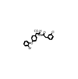 O=C(Cc1cccc(Cl)c1)N/C(=C\c1ccc(Oc2ccccc2Br)cc1)C(=O)O